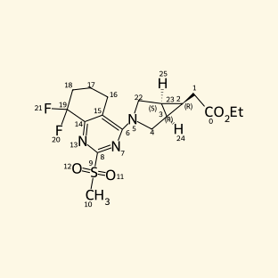 CCOC(=O)C[C@H]1[C@H]2CN(c3nc(S(C)(=O)=O)nc4c3CCCC4(F)F)C[C@@H]12